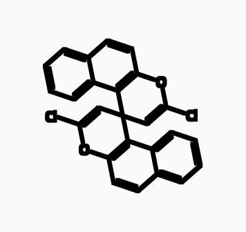 ClC1=CC2(C=C(Cl)Oc3ccc4ccccc4c32)c2c(ccc3ccccc23)O1